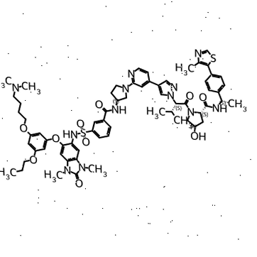 CCCOc1cc(OCCCCN(C)C)cc(Oc2cc3c(cc2NS(=O)(=O)c2cccc(C(=O)N[C@H]4CCN(c5cc(-c6cnn([C@H](C(=O)N7C[C@H](O)C[C@H]7C(=O)N[C@@H](C)c7ccc(-c8scnc8C)cc7)C(C)C)c6)ccn5)C4)c2)n(C)c(=O)n3C)c1